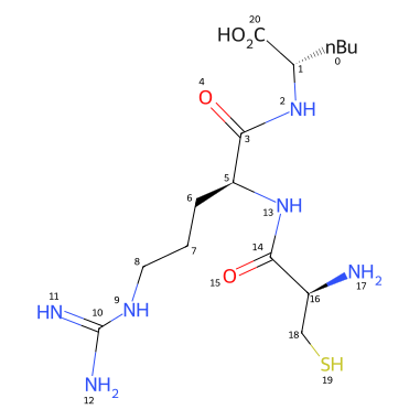 CCCC[C@H](NC(=O)[C@H](CCCNC(=N)N)NC(=O)[C@@H](N)CS)C(=O)O